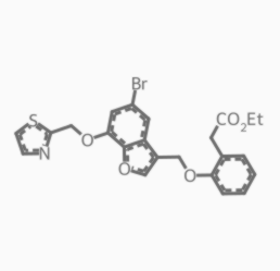 CCOC(=O)Cc1ccccc1OCc1coc2c(OCc3nccs3)cc(Br)cc12